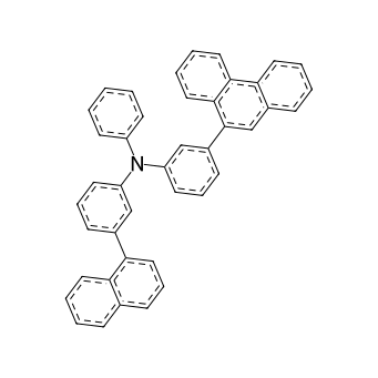 c1ccc(N(c2cccc(-c3cccc4ccccc34)c2)c2cccc(-c3cc4ccccc4c4ccccc34)c2)cc1